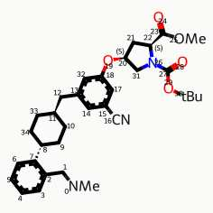 CNCc1ccccc1[C@H]1CC[C@H](Cc2cc(C#N)cc(O[C@H]3C[C@@H](C(=O)OC)N(C(=O)OC(C)(C)C)C3)c2)CC1